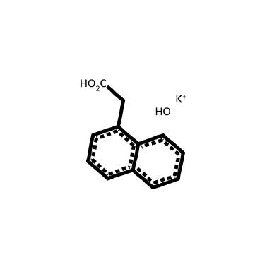 O=C(O)Cc1cccc2ccccc12.[K+].[OH-]